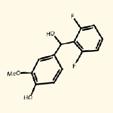 COc1cc(C(O)c2c(F)cccc2F)ccc1O